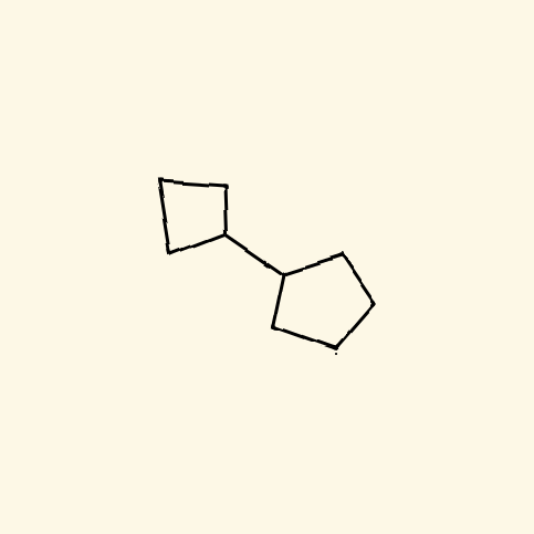 [CH]1CCC(C2CCC2)C1